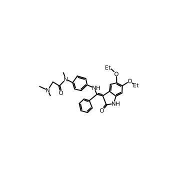 CCOc1cc2c(cc1OCC)C(=C(Nc1ccc(N(C)C(=O)CN(C)C)cc1)c1ccccc1)C(=O)N2